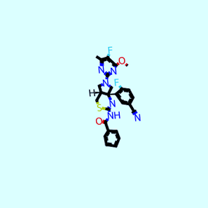 COc1nc(N2C[C@H]3CSC(NC(=O)c4ccccc4)=N[C@@]3(c3cc(C#N)ccc3F)C2)nc(C)c1F